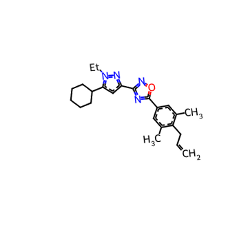 C=CCc1c(C)cc(-c2nc(-c3cc(C4CCCCC4)n(CC)n3)no2)cc1C